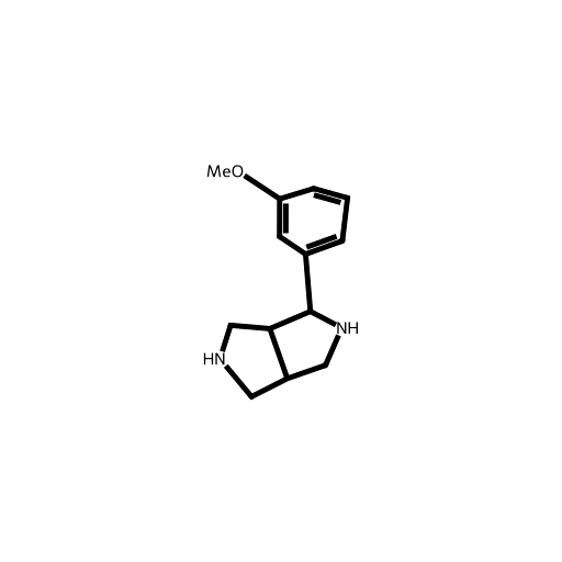 COc1cccc(C2NCC3CNCC32)c1